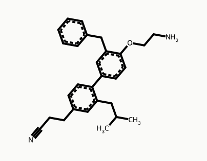 CC(C)Cc1cc(CCC#N)ccc1-c1ccc(OCCN)c(Cc2ccccc2)c1